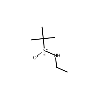 CCN[S@+]([O-])C(C)(C)C